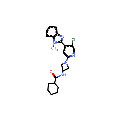 Cn1c(-c2cc(N3CC(NC(=O)C4CCCCC4)C3)ncc2Cl)nc2ccccc21